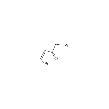 CC(C)/C=C\C(=O)CC(C)C